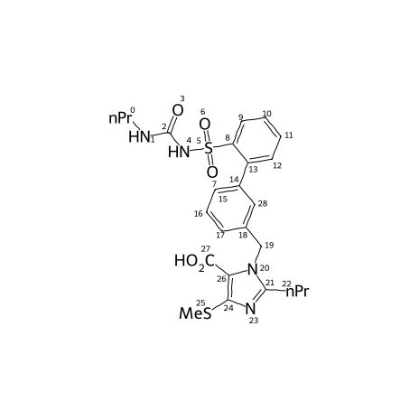 CCCNC(=O)NS(=O)(=O)c1ccccc1-c1cccc(Cn2c(CCC)nc(SC)c2C(=O)O)c1